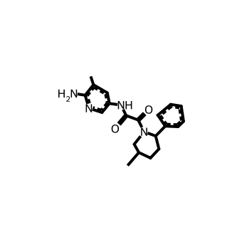 Cc1cc(NC(=O)C(=O)N2CC(C)CCC2c2ccccc2)cnc1N